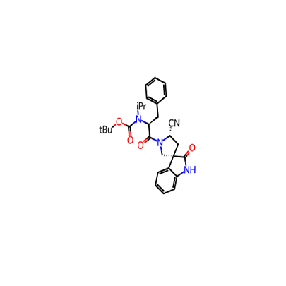 CC(C)N(C(=O)OC(C)(C)C)[C@@H](Cc1ccccc1)C(=O)N1C[C@]2(C[C@H]1C#N)C(=O)Nc1ccccc12